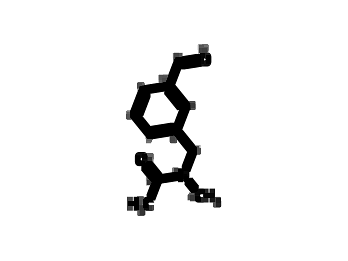 CC(=O)N(C)Cc1cccc(C=O)c1